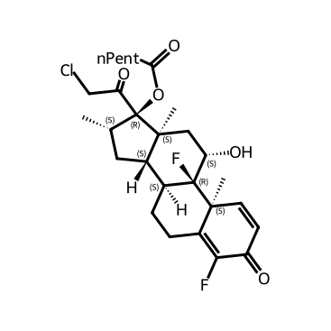 CCCCCC(=O)O[C@]1(C(=O)CCl)[C@@H](C)C[C@H]2[C@@H]3CCC4=C(F)C(=O)C=C[C@]4(C)[C@@]3(F)[C@@H](O)C[C@@]21C